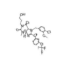 COc1cc(CN2C(Oc3cccc(OC(F)(F)F)c3)=N[C@H]3C2C(=O)N(CCCO)C(=O)N3C)ccc1Cl